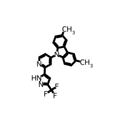 Cc1ccc2c(c1)c1cc(C)ccc1n2-c1ccnc(-c2cc(C(F)(F)F)n[nH]2)c1